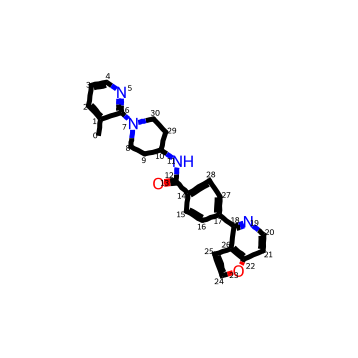 Cc1cccnc1N1CCC(NC(=O)c2ccc(-c3nccc4occc34)cc2)CC1